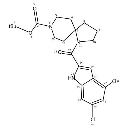 CC(C)(C)OC(=O)N1CCC2(CCCN2C(=O)c2cc3c(Cl)cc(Cl)cc3[nH]2)CC1